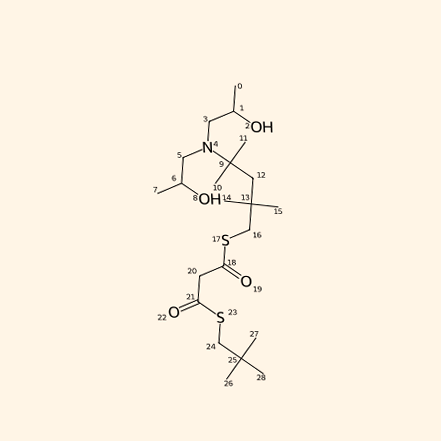 CC(O)CN(CC(C)O)C(C)(C)CC(C)(C)CSC(=O)CC(=O)SCC(C)(C)C